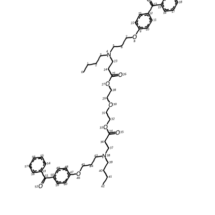 CCCCN(CCCOc1ccc(C(=O)c2ccccc2)cc1)CCC(=O)OCCOCCOC(=O)CCN(CCCC)CCCOc1ccc(C(=O)c2ccccc2)cc1